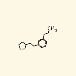 CCCc1cccc(CCC2CCCC2)c1